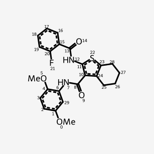 COc1ccc(OC)c(NC(=O)c2c(NC(=O)c3ccccc3F)sc3c2CCCC3)c1